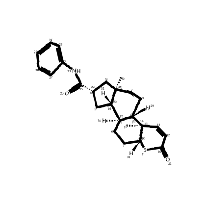 C[C@]12CC[C@H]3[C@@H](CC[C@H]4SC(=O)C=C[C@@]43C)[C@@H]1C[C@H](C(=O)Nc1ccccc1)C2